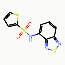 O=S(=O)(Nc1cccc2nsnc12)c1cccs1